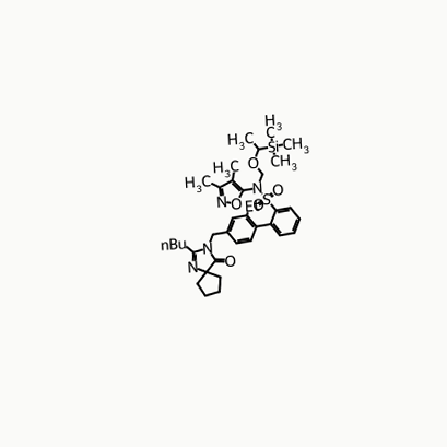 CCCCC1=NC2(CCCC2)C(=O)N1Cc1ccc(-c2ccccc2S(=O)(=O)N(COC(C)[Si](C)(C)C)c2onc(C)c2C)c(CC)c1